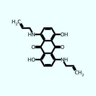 C=CCNc1ccc(O)c2c1C(=O)c1c(O)ccc(NCC=C)c1C2=O